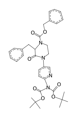 CC(C)(C)OC(=O)N(C(=O)OC(C)(C)C)c1ccc(N2CCN(C(=O)OCc3ccccc3)C(Cc3ccccc3)C2=O)cn1